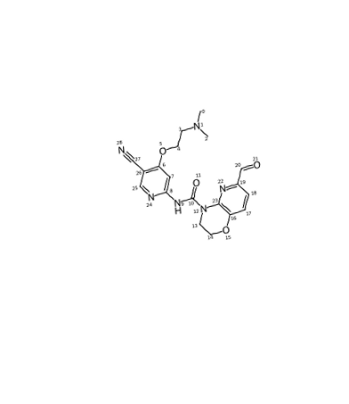 CN(C)CCOc1cc(NC(=O)N2CCOc3ccc(C=O)nc32)ncc1C#N